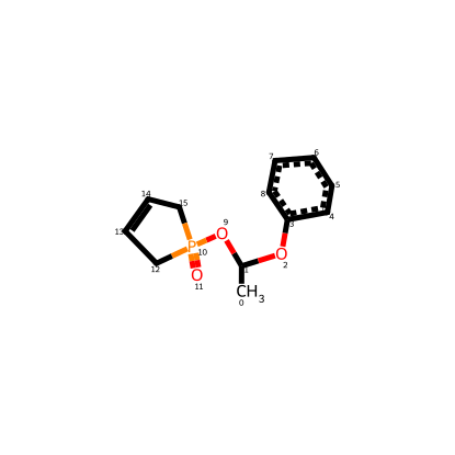 CC(Oc1ccccc1)OP1(=O)CC=CC1